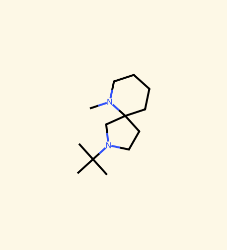 CN1CCCCC12CCN(C(C)(C)C)C2